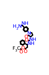 N=C(N)c1ccc(N2CCC(NC(=O)NC(CC(=O)OC(=O)C(F)(F)F)c3ccccc3)C2=O)cc1